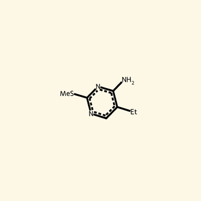 [CH2]Cc1cnc(SC)nc1N